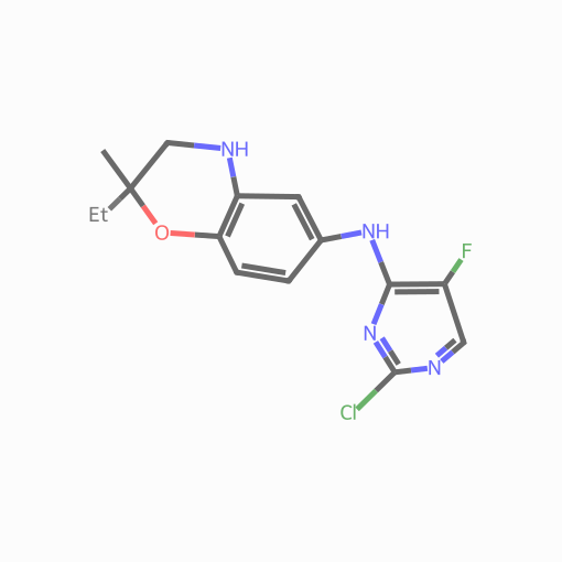 [CH2]CC1(C)CNc2cc(Nc3nc(Cl)ncc3F)ccc2O1